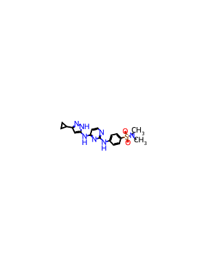 CN(C)S(=O)(=O)c1ccc(Nc2nccc(Nc3cc(C4CC4)n[nH]3)n2)cc1